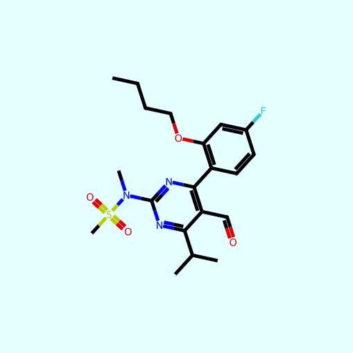 CCCCOc1cc(F)ccc1-c1nc(N(C)S(C)(=O)=O)nc(C(C)C)c1C=O